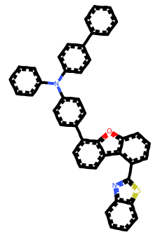 c1ccc(-c2ccc(N(c3ccccc3)c3ccc(-c4cccc5c4oc4cccc(-c6nc7ccccc7s6)c45)cc3)cc2)cc1